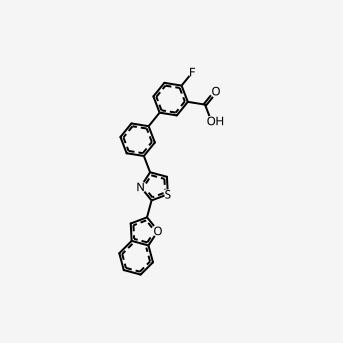 O=C(O)c1cc(-c2cccc(-c3csc(-c4cc5ccccc5o4)n3)c2)ccc1F